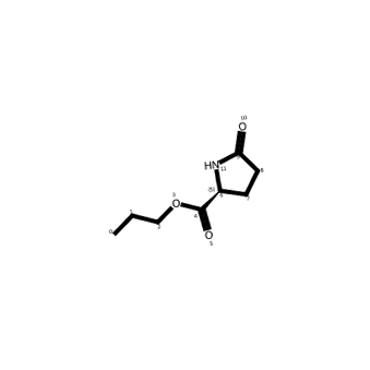 CCCOC(=O)[C@@H]1CCC(=O)N1